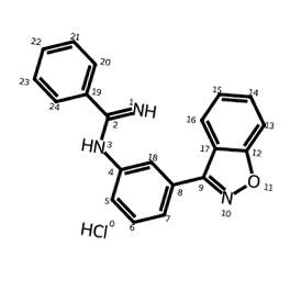 Cl.N=C(Nc1cccc(-c2noc3ccccc23)c1)c1ccccc1